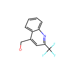 [O]Cc1cc(C(F)(F)F)nc2ccccc12